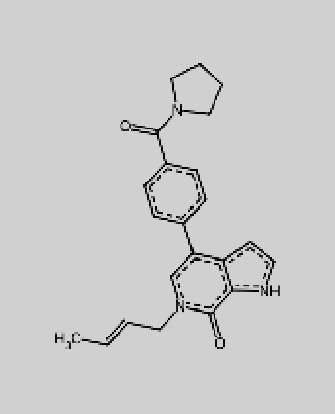 CC=CCn1cc(-c2ccc(C(=O)N3CCCC3)cc2)c2cc[nH]c2c1=O